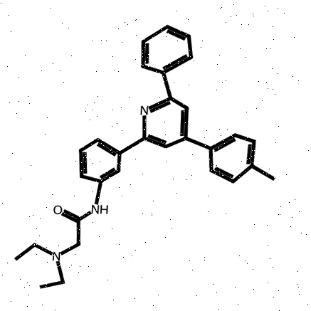 CCN(CC)CC(=O)Nc1cccc(-c2cc(-c3ccc(C)cc3)cc(-c3ccccc3)n2)c1